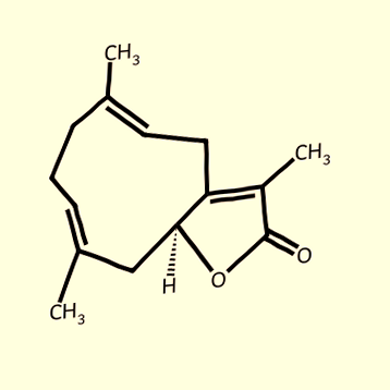 CC1=C2C/C=C(\C)CC/C=C(\C)C[C@@H]2OC1=O